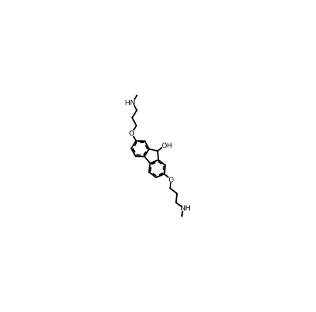 CNCCCOc1ccc2c(c1)C(O)c1cc(OCCCNC)ccc1-2